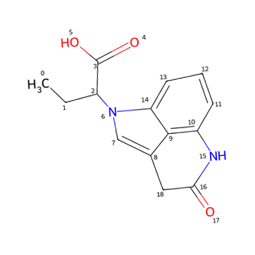 CCC(C(=O)O)n1cc2c3c(cccc31)NC(=O)C2